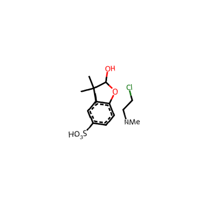 CC1(C)c2cc(S(=O)(=O)O)ccc2OC1O.CNCCCl